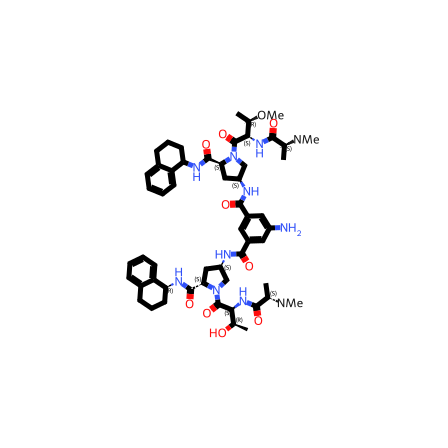 CN[C@@H](C)C(=O)N[C@H](C(=O)N1C[C@@H](NC(=O)c2cc(N)cc(C(=O)N[C@H]3C[C@@H](C(=O)NC4CCCc5ccccc54)N(C(=O)[C@@H](NC(=O)[C@H](C)NC)[C@@H](C)OC)C3)c2)C[C@H]1C(=O)N[C@@H]1CCCc2ccccc21)[C@@H](C)O